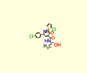 C[C@@H](CO)NC(=O)c1cc(-c2ccc(Cl)cc2)nn([SH]2C=CC=C2Cl)c1=O